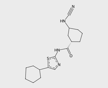 N#CNC1CCC[C@H](C(=O)Nc2ncc(C3CCCCC3)s2)C1